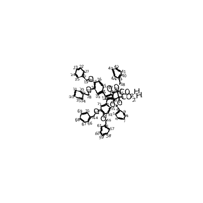 O=C(O)C(OCc1ccccc1)(C(=O)C=Cc1ccc(OCc2ccccc2)c(OCc2ccccc2)c1)C(OCc1ccccc1)(C(=O)O)C(=O)C=Cc1ccc(OCc2ccccc2)c(OCc2ccccc2)c1